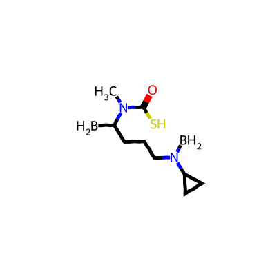 BC(CCCN(B)C1CC1)N(C)C(=O)S